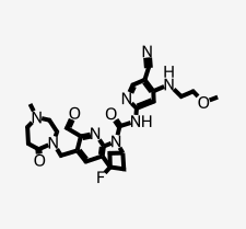 COCCNc1cc(NC(=O)N2c3nc(C=O)c(CN4CCN(C)CCC4=O)cc3C3(F)CC2C3)ncc1C#N